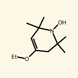 CCOC1=CC(C)(C)N(O)C(C)(C)C1